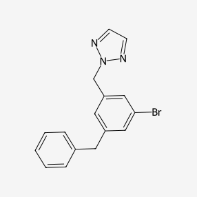 Brc1cc(Cc2ccccc2)cc(Cn2nccn2)c1